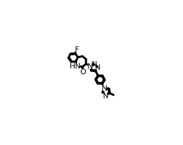 Cc1cn(-c2ccc(-c3cn(C4CCC5C(F)=CC=CC5NC4=O)nn3)cc2)cn1